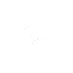 COc1ccc(C(C)C(=O)O)cc1-c1ccc(F)c2c1CN(OC(=O)OCc1ccccc1)CC2